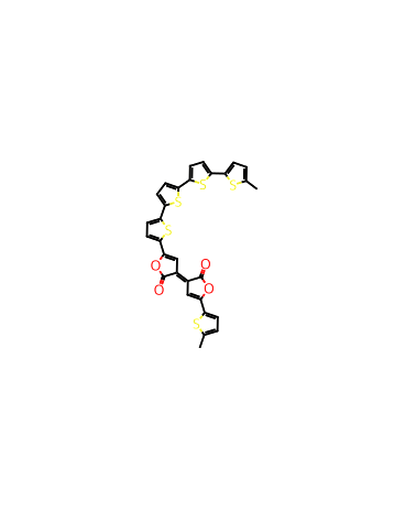 Cc1ccc(C2=C/C(=C3/C=C(c4ccc(-c5ccc(-c6ccc(-c7ccc(C)s7)s6)s5)s4)OC3=O)C(=O)O2)s1